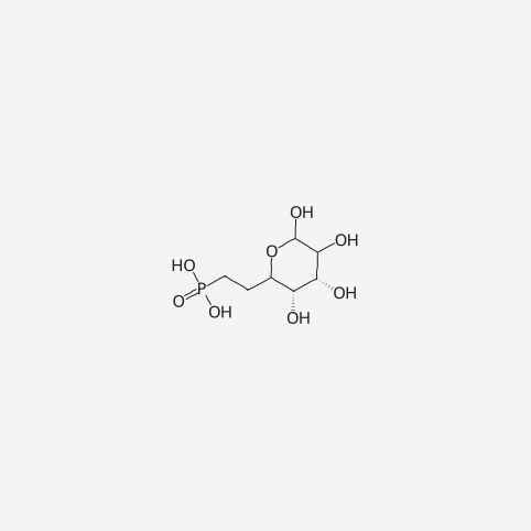 O=P(O)(O)CCC1OC(O)C(O)[C@H](O)[C@@H]1O